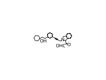 O=CC(=O)C1c2ccccc2CN1CC#Cc1cccc(CCC2(O)CCCCC2)c1